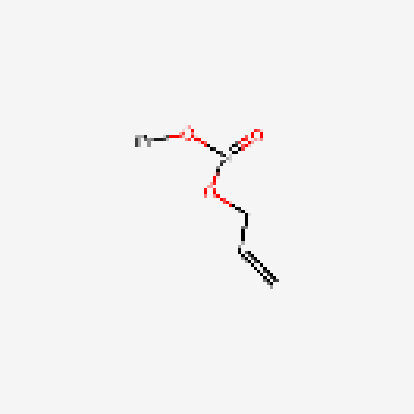 C=CCO[Si](=O)OC(C)C